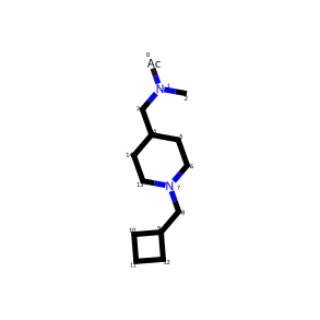 CC(=O)N(C)CC1CCN(CC2CCC2)CC1